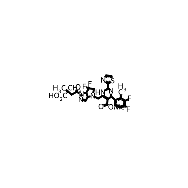 COC(=O)C1=C(CN2CC(F)(F)C3C2C=NN3C(=O)CC(C)(C)C(=O)O)NC(c2nccs2)=NC1c1ccc(F)c(F)c1C